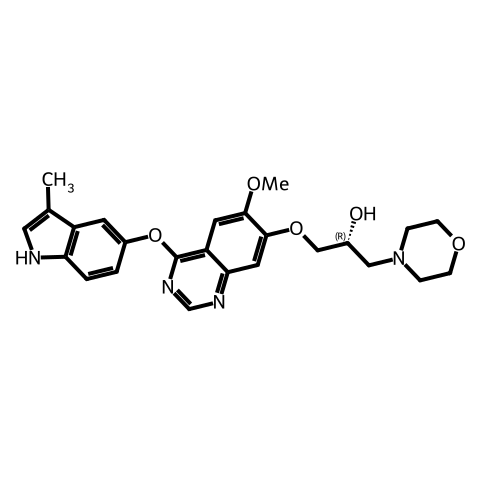 COc1cc2c(Oc3ccc4[nH]cc(C)c4c3)ncnc2cc1OC[C@H](O)CN1CCOCC1